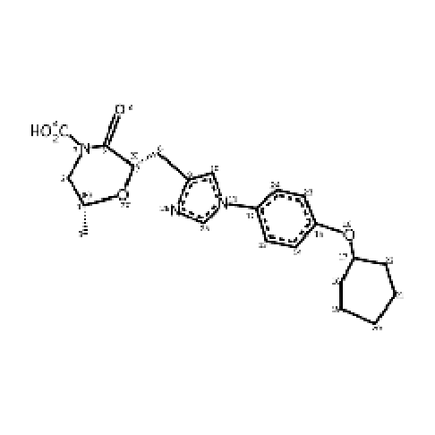 C[C@@H]1CN(C(=O)O)C(=O)[C@H](Cc2cn(-c3ccc(OC4CCCCC4)cc3)cn2)O1